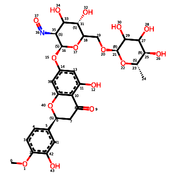 COc1ccc([C@@H]2CC(=O)c3c(O)cc(O[C@@H]4OC(CO[C@@H]5O[C@@H](C)[C@H](O)C(O)C5O)[C@@H](O)C(O)[C@@H]4N=O)cc3O2)cc1O